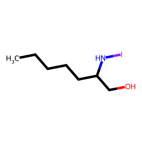 CCCCCC(CO)NI